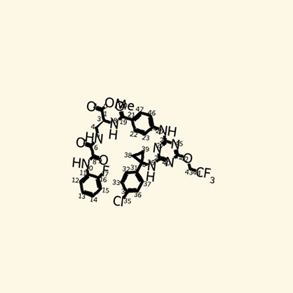 COC(=O)[C@H](CNC(=O)C(=O)Nc1ccccc1F)NC(=O)c1ccc(Nc2nc(NC3(c4ccc(Cl)cc4)CC3)nc(OCC(F)(F)F)n2)cc1